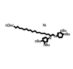 CCCCCCCCCCCCCCCCCCCCCCCCCCC(C=Nc1ccc(CCCC)c(CCCC)c1)=Nc1ccc(CCCC)c(CCCC)c1.[Ni]